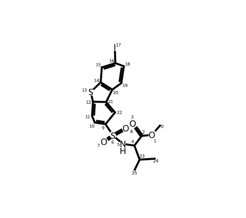 COC(=O)C(NS(=O)(=O)c1ccc2sc3cc(I)ccc3c2c1)C(C)C